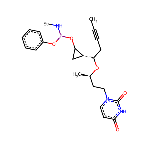 CC#CCC(O[C@H](C)CCn1ccc(=O)[nH]c1=O)[C@@H]1CC1OP(NCC)Oc1ccccc1